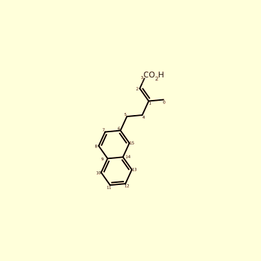 CC(=CC(=O)O)CCc1ccc2ccccc2c1